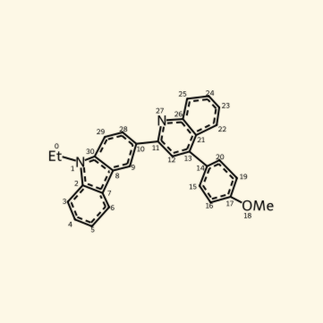 CCn1c2ccccc2c2cc(-c3cc(-c4ccc(OC)cc4)c4ccccc4n3)ccc21